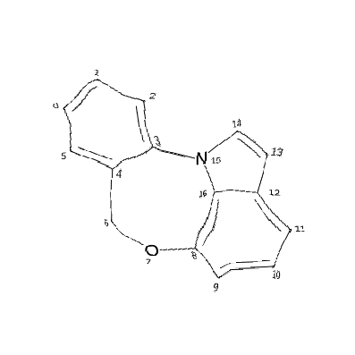 c1ccc2c(c1)COc1cccc3ccn-2c13